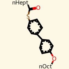 CCCCCCCCOc1ccc(-c2ccc(SC(=O)CCCCCCC)cc2)cc1